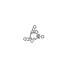 C1=Cc2c3n(c4cc5ccccc5cc24)-c2ccc4c(c2)c2cc5ccccc5cc2n4-c2c(ccc4ccccc24)-c2nc(nc(-c4ccccc4)n2)C2=CC3(C=C2)C1